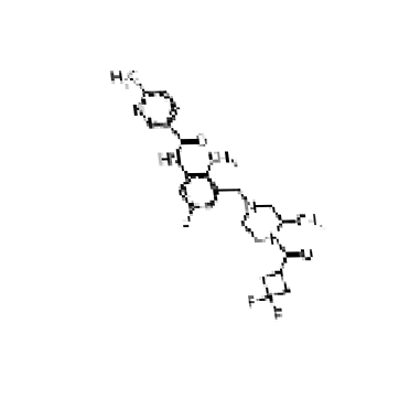 Cc1ccc(C(=O)Nc2cc(F)cc(CN3CCN(C(=O)C4CC(F)(F)C4)C(C)C3)c2C)cn1